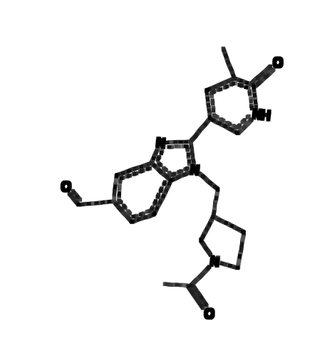 CC(=O)N1CCC(Cn2c(-c3c[nH]c(=O)c(C)c3)nc3cc(C=O)ccc32)C1